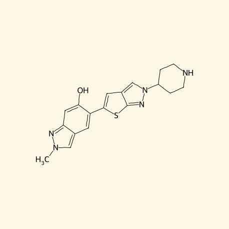 Cn1cc2cc(-c3cc4cn(C5CCNCC5)nc4s3)c(O)cc2n1